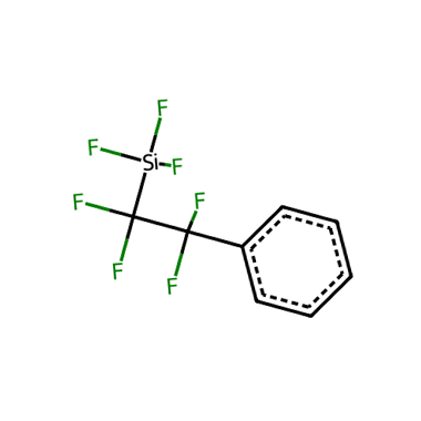 FC(F)(c1ccccc1)C(F)(F)[Si](F)(F)F